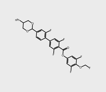 CCCC1COC(c2ccc(-c3cc(F)c(C(=O)Oc4cc(F)c(OCF)c(F)c4)c(F)c3)c(F)c2)OC1